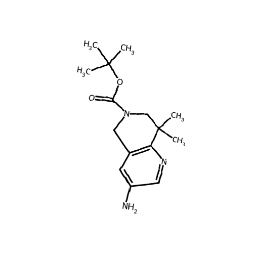 CC(C)(C)OC(=O)N1Cc2cc(N)cnc2C(C)(C)C1